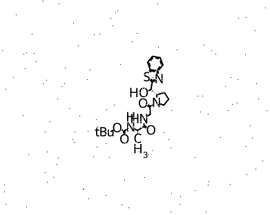 C[C@H](NC(=O)OC(C)(C)C)C(=O)NCC(=O)N1CCC[C@H]1C(O)c1nc2ccccc2s1